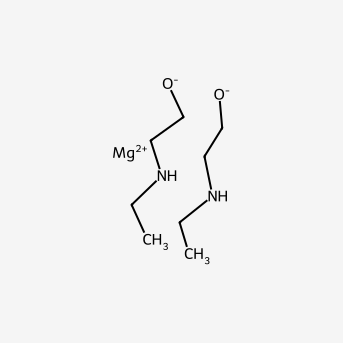 CCNCC[O-].CCNCC[O-].[Mg+2]